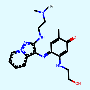 CCCN(C)CCNc1nn2ccccc2c1/N=C1\C=C(C)C(=O)C=C1NCCO